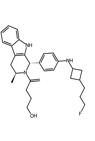 C=C(CCCO)N1[C@@H](c2ccc(NC3CC(CCCF)C3)cc2)c2[nH]c3ccccc3c2C[C@@H]1C